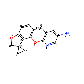 Cc1cc(N)cnc1Oc1cccc2c1C1(CC1)CO2